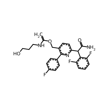 C=C(NCCCO)OCc1ccc(C(C(N)=O)c2c(F)cccc2F)nc1-c1ccc(F)cc1